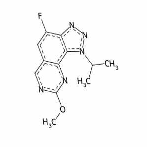 COc1ncc2cc(F)c3nnn(C(C)C)c3c2n1